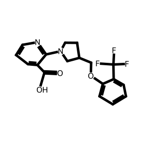 O=C(O)c1cccnc1N1CCC(COc2ccccc2C(F)(F)F)C1